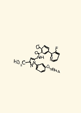 CCCCOc1cccc(-n2nc(C(=O)O)cc2NC(=O)c2cc(-c3ncccc3F)ccc2Cl)c1